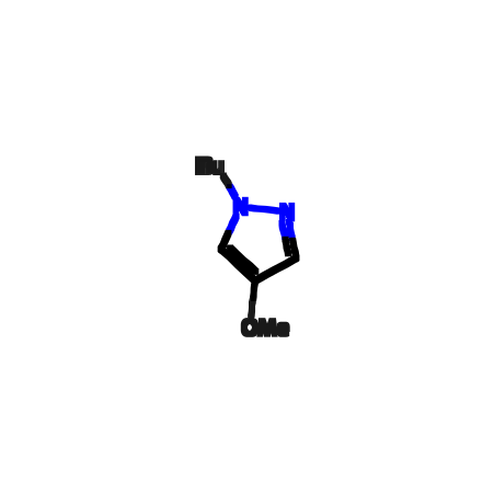 CCC(C)n1cc(OC)cn1